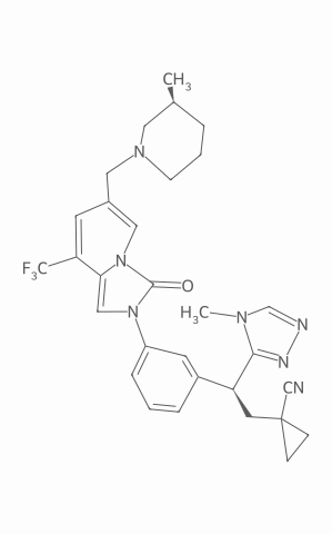 C[C@H]1CCCN(Cc2cc(C(F)(F)F)c3cn(-c4cccc([C@H](CC5(C#N)CC5)c5nncn5C)c4)c(=O)n3c2)C1